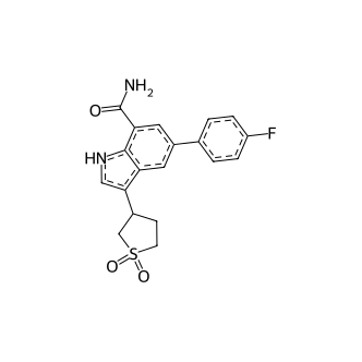 NC(=O)c1cc(-c2ccc(F)cc2)cc2c(C3CCS(=O)(=O)C3)c[nH]c12